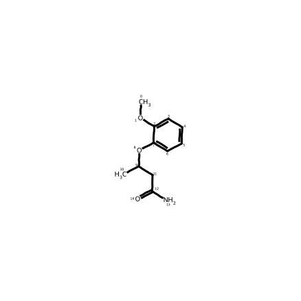 COc1ccccc1OC(C)CC(N)=O